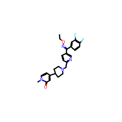 CCON=C(c1ccc(CN2CCC(c3ccn(C)c(=O)c3)CC2)nc1)c1ccc(F)c(F)c1